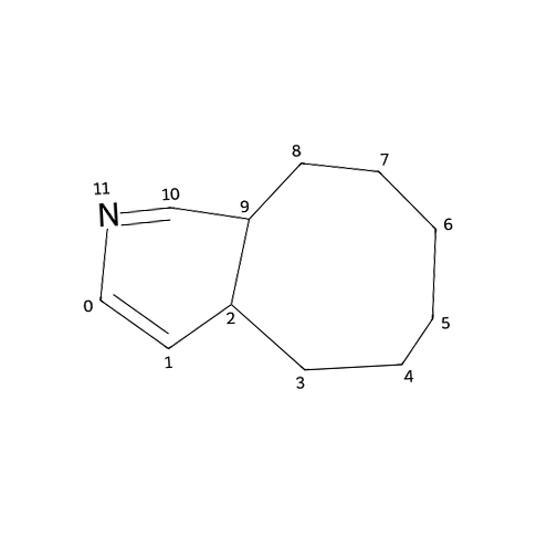 C1=CC2CCCCCCC2C=N1